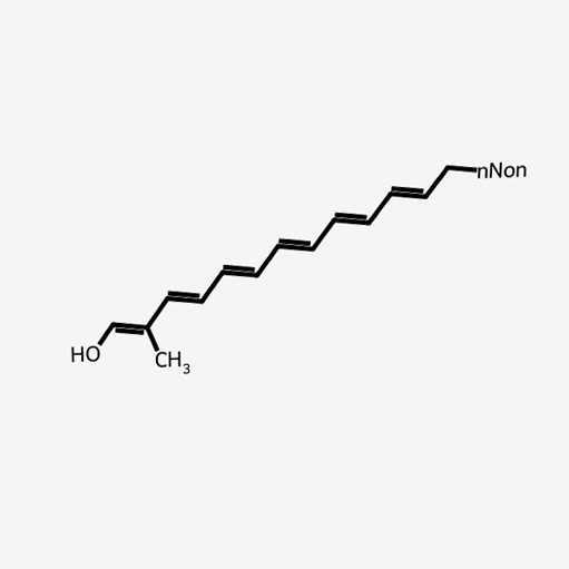 CCCCCCCCCC/C=C/C=C/C=C/C=C/C=C/C(C)=C/O